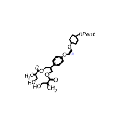 C=C(CO)C(=O)OCC(COC(=O)C(=C)CO)c1ccc(O/C=C\OC2CCC(CCCCC)CC2)cc1